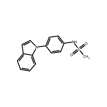 CS(=O)(=O)Nc1ccc(-n2ccc3c[c]ccc32)cc1